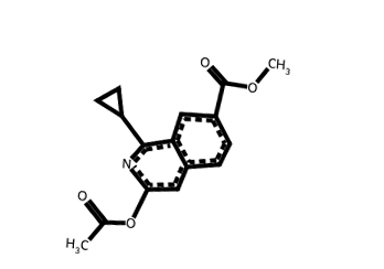 COC(=O)c1ccc2cc(OC(C)=O)nc(C3CC3)c2c1